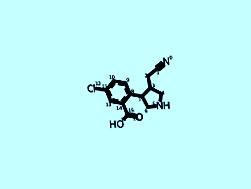 N#CCC1CNCC1c1ccc(Cl)cc1C(=O)O